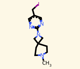 CN1CCC2(CC1)CN(c1ncc(CI)cn1)C2